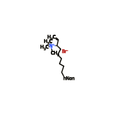 C=CC(CCCCCCCCCCCCCCC)[N+](C)(C)C.[Br-]